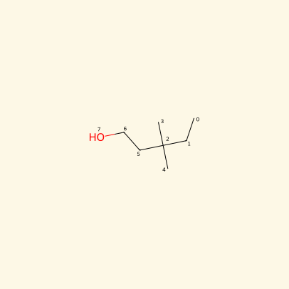 CCC(C)(C)CCO